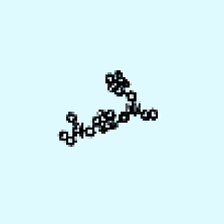 c1ccc(-c2cc(-c3cccc4ccccc34)nc(-c3cccc(-c4ccc5c(c4)C4(c6ccccc6O5)c5ccccc5-c5ccc(-c6ccc(-c7cc(-c8ccc9ccccc9c8)nc(-c8cccc(-c9ccc%10c(c9)C9(c%11ccccc%11O%10)c%10ccccc%10-c%10ccccc%109)c8)n7)cc6)cc54)c3)n2)cc1